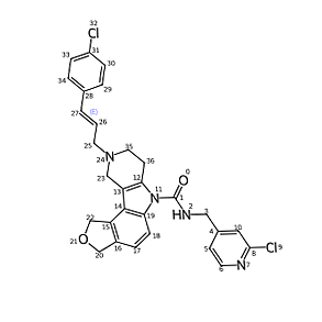 O=C(NCc1ccnc(Cl)c1)n1c2c(c3c4c(ccc31)COC4)CN(C/C=C/c1ccc(Cl)cc1)CC2